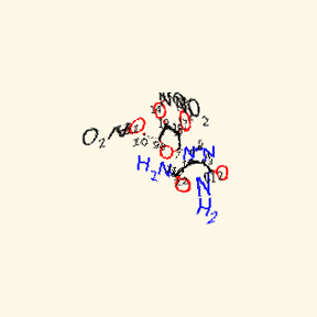 NC(=O)c1ncn([C@@H]2O[C@H](CO[N+](=O)[O-])[C@@H](O[N+](=O)[O-])[C@H]2O[N+](=O)[O-])c1C(N)=O